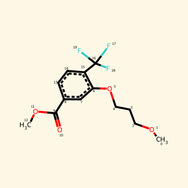 COCCCOc1cc(C(=O)OC)ccc1C(F)(F)F